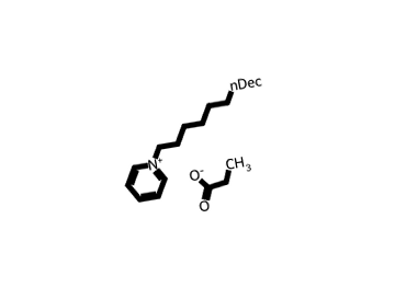 CCC(=O)[O-].CCCCCCCCCCCCCCCC[n+]1ccccc1